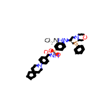 O=C(NS(=O)(=O)c1ccc(N[C@@H](CSc2ccccc2)CN2CCOCC2)c([N+](=O)[O-])c1)c1ccc(N2CCC3(CCCC3)CC2)cc1